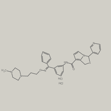 CN1CCN(CCCO/N=C(\c2ccccc2)c2cccc(NC(=O)c3ccn4c3CSC4c3cccnc3)c2)CC1.Cl.Cl